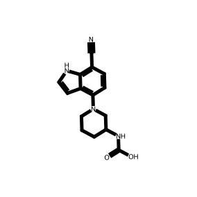 N#Cc1ccc(N2CCCC(NC(=O)O)C2)c2cc[nH]c12